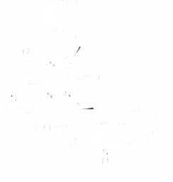 O=CN[C@@H](Cc1ccccc1)C(=O)N([C@@H](Cc1c[nH]c2ccccc12)C(=O)O)N1C=CN=CC1